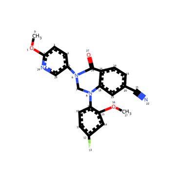 COc1ccc(N2CN(c3ccc(F)cc3OC)c3cc(C#N)ccc3C2=O)cn1